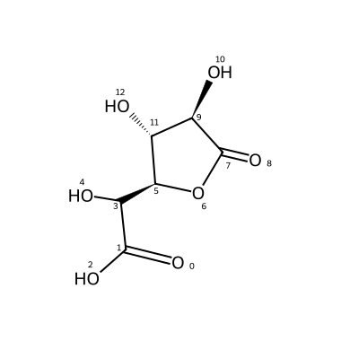 O=C(O)C(O)[C@@H]1OC(=O)[C@H](O)[C@H]1O